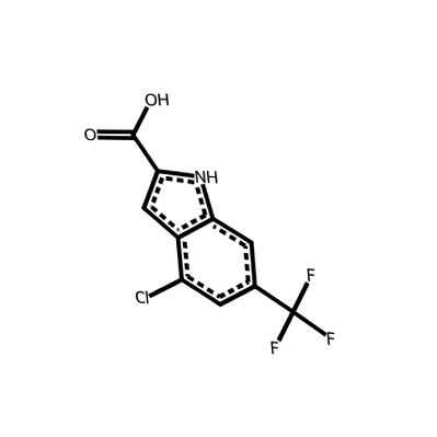 O=C(O)c1cc2c(Cl)cc(C(F)(F)F)cc2[nH]1